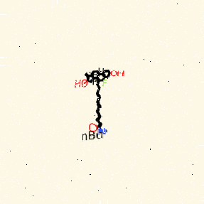 C=C1[C@H](O)C[C@H]2[C@@H]3C(CCCCCCCCCCC(=O)N(C)CCCC)[C@@H](F)c4cc(O)ccc4[C@H]3CC[C@]12C